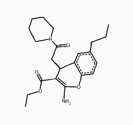 CCCc1ccc2c(c1)C(CC(=O)N1CCCCC1)C(C(=O)OCC)=C(N)O2